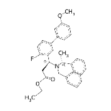 CCOC(=O)C[C@@H](c1cc(-c2cccc(OC)c2)ccc1F)N(Cc1ccccc1)[C@H](C)c1ccccc1